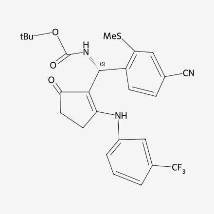 CSc1cc(C#N)ccc1[C@@H](NC(=O)OC(C)(C)C)C1=C(Nc2cccc(C(F)(F)F)c2)CCC1=O